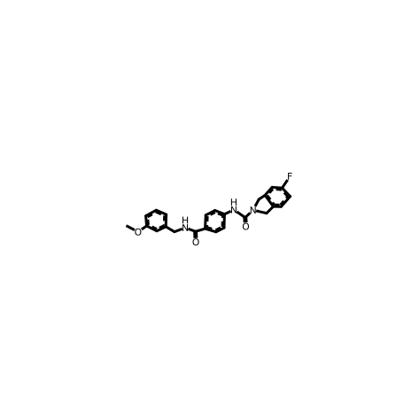 COc1cccc(CNC(=O)c2ccc(NC(=O)N3Cc4ccc(F)cc4C3)cc2)c1